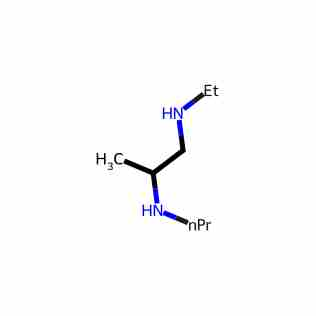 CCCNC(C)CNCC